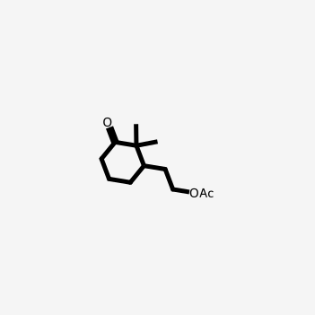 CC(=O)OCCC1CCCC(=O)C1(C)C